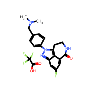 CN(C)Cc1ccc(-n2nc3cc(F)cc4c3c2CCNC4=O)cc1.O=C(O)C(F)(F)F